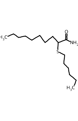 CCCCCCCCC(SCCCCCC)C(N)=O